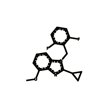 COc1cccc2c1nc(C1CC1)n2Cc1c(F)cccc1F